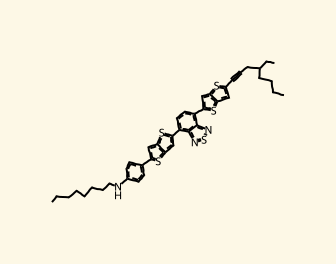 CCCCCCCCNc1ccc(-c2cc3sc(-c4ccc(-c5cc6sc(C#CCC(CC)CCCC)cc6s5)c5nsnc45)cc3s2)cc1